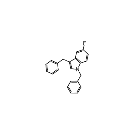 Fc1ccc2c(c1)c(Cc1ccccc1)cn2Cc1ccccc1